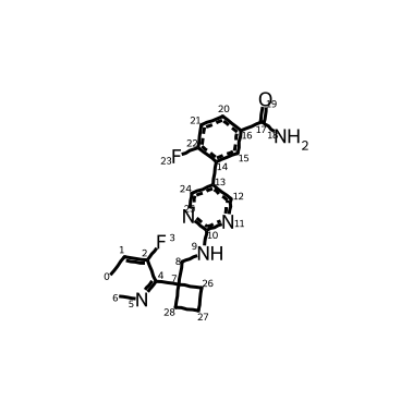 C/C=C(F)\C(=N/C)C1(CNc2ncc(-c3cc(C(N)=O)ccc3F)cn2)CCC1